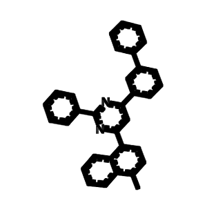 Cc1ccc(-c2cc(-c3cccc(-c4ccccc4)c3)nc(-c3ccccc3)n2)c2ccccc12